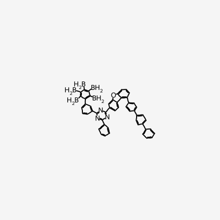 Bc1c(B)c(B)c(-c2cccc(-c3nc(-c4ccccc4)nc(-c4ccc5c(c4)oc4cccc(-c6ccc(-c7ccc(-c8ccccc8)cc7)cc6)c45)n3)c2)c(B)c1B